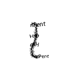 CCCCC/C=C\C/C=C\CCCCCCCC(=O)NCCCCCCNC(=O)CCCCCCC/C=C\C/C=C\CCCCC